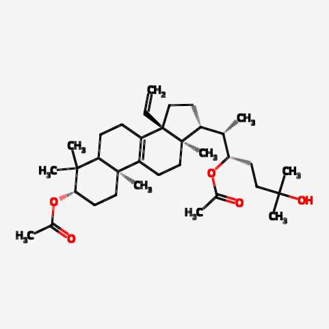 C=C[C@@]12CC[C@H]([C@H](C)[C@H](CCC(C)(C)O)OC(C)=O)[C@@]1(C)CCC1=C2CCC2C(C)(C)[C@@H](OC(C)=O)CC[C@]12C